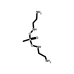 CP(=O)(ONCCN)ONCCN